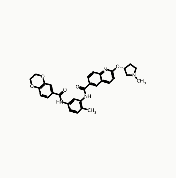 Cc1ccc(NC(=O)c2ccc3c(c2)OCCO3)cc1NC(=O)c1ccc2nc(O[C@@H]3CCN(C)C3)ccc2c1